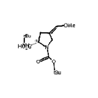 CC(C)(C)N.COC=C1C[C@@H](C(=O)O)N(C(=O)OC(C)(C)C)C1